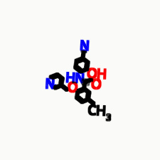 CCc1ccc(OCc2cccnc2)c([C@@H](Nc2ccc(C#N)cc2)C(=O)O)c1